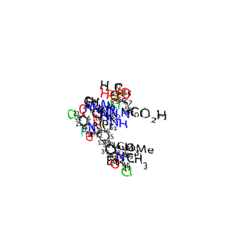 C#CC(C)Oc1cc(N2C(=O)C3=C(CCCC3)C2=O)c(F)cc1Cl.CCNc1nc(Cl)nc(NC(C)C)n1.CCc1cccc(C)c1N(C(=O)CCl)C(C)COC.CP(=O)(O)CCC(N)C(=O)O